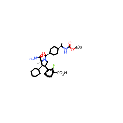 CC(NC(=O)OC(C)(C)C)[C@H]1CC[C@H](C(=O)N2CC(c3cccc(C(=O)O)c3F)[C@@H](C3CCCCC3)[C@@]2(C)C(N)=O)CC1